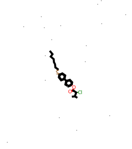 CCCCCCCCSc1ccc(-c2ccc(OC(=O)[C@@H](Cl)C(C)C)cc2)cc1